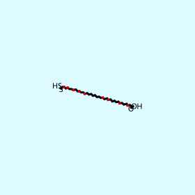 O=C(O)CCCCCCCCCCCCCCCCCCCCCCCCCCCCCCCCCCCC(=S)S